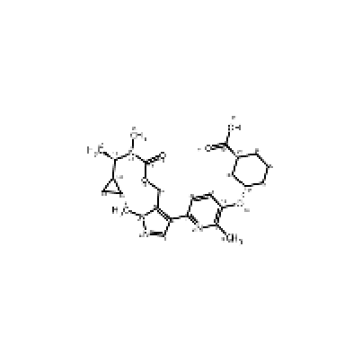 Cc1nc(-c2cnn(C)c2COC(=O)N(C)[C@H](C)C2CC2)ccc1O[C@H]1CCC[C@H](C(=O)O)C1